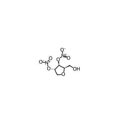 O=[N+]([O-])O[C@@H]1[C@@H](O[N+](=O)[O-])CO[C@@H]1CO